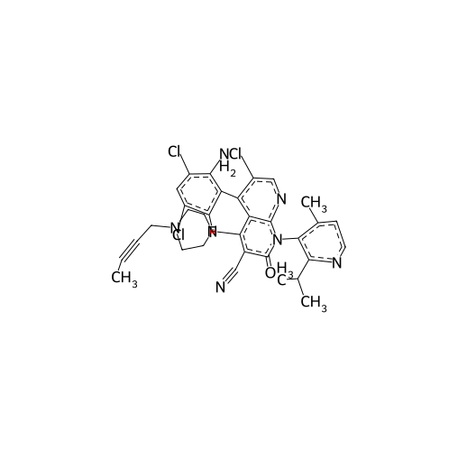 CC#CCN1CCN(c2c(C#N)c(=O)n(-c3c(C)ccnc3C(C)C)c3ncc(Cl)c(-c4c(N)c(Cl)cc(Cl)c4F)c23)CC1